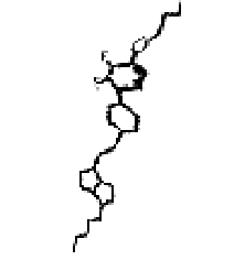 CCCCCC1CCC2C(CCC3CCC(c4ccc(OCCCC)c(F)c4F)CC3)CCC12